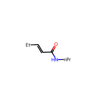 CCC=CC(=O)NCCC